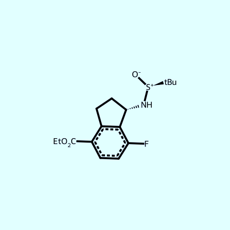 CCOC(=O)c1ccc(F)c2c1CC[C@@H]2N[S@@+]([O-])C(C)(C)C